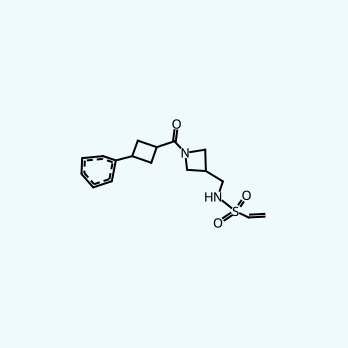 C=CS(=O)(=O)NCC1CN(C(=O)C2CC(c3ccccc3)C2)C1